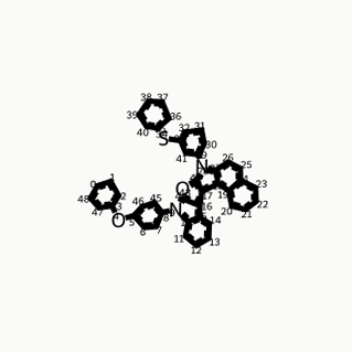 c1ccc(Oc2ccc(-n3c4ccccc4c4c5c6c7ccccc7ccc6n(-c6cccc(Sc7ccccc7)c6)c5oc43)cc2)cc1